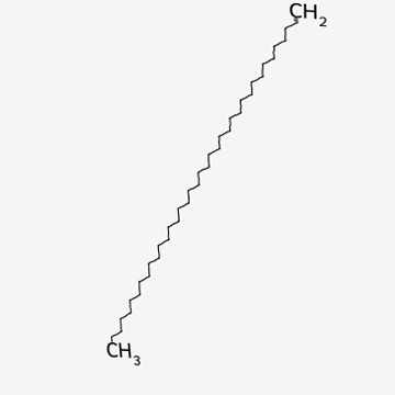 C=CCCCCCCCCCCCCCCCCCCCCCCCCCCCCCCCCCCCC